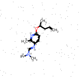 C=CCC(C)Oc1ccc(/N=C/N(C)C(C)C)c(C)n1